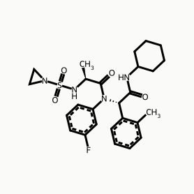 Cc1ccccc1[C@@H](C(=O)NC1CCCCC1)N(C(=O)[C@H](C)NS(=O)(=O)N1CC1)c1cccc(F)c1